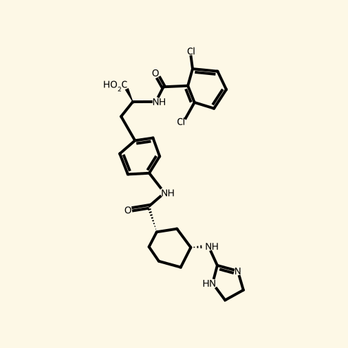 O=C(N[C@@H](Cc1ccc(NC(=O)[C@H]2CCC[C@@H](NC3=NCCN3)C2)cc1)C(=O)O)c1c(Cl)cccc1Cl